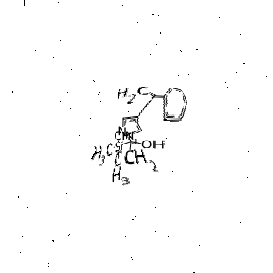 [CH2]C(O)(n1cc(C(=C)c2ccccc2)cn1)[Si](C)(C)C